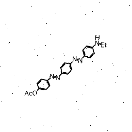 CCNc1ccc(N=Nc2ccc(N=Nc3ccc(OC(C)=O)cc3)cc2)cc1